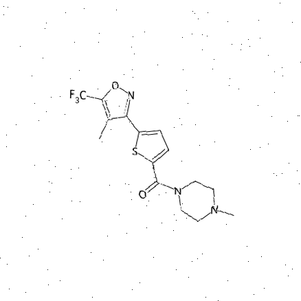 Cc1c(-c2ccc(C(=O)N3CCN(C)CC3)s2)noc1C(F)(F)F